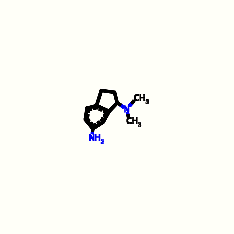 CN(C)C1CCc2ccc(N)cc21